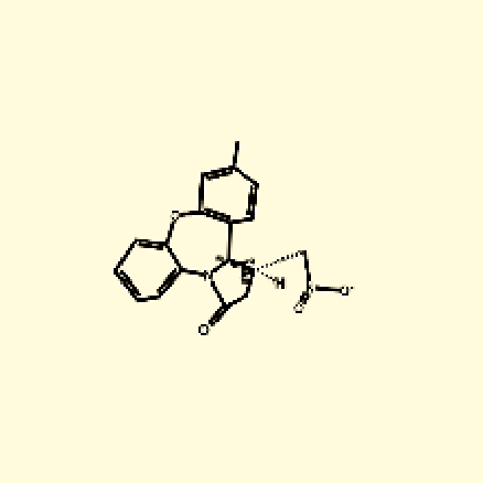 Cc1ccc2c(c1)Oc1ccccc1N1C(=O)C[C@H]3[C@H](C[N+](=O)[O-])CC[C@]231